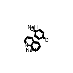 O=C1C=CC(=O)C=C1.[NaH].[NaH].c1ccc2ncccc2c1